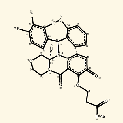 COC(=O)CCOc1c2n(ccc1=O)N([C@@H]1c3ccccc3SCc3c1ccc(F)c3F)[C@@H]1COCCN1C2=O